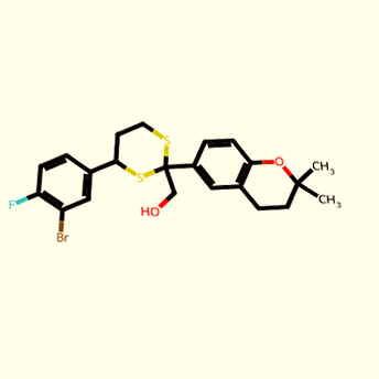 CC1(C)CCc2cc(C3(CO)SCCC(c4ccc(F)c(Br)c4)S3)ccc2O1